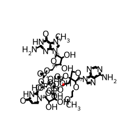 COCCOC1[C@H](n2cnc3c(N)ncnc32)OCC1(CCOP(=O)(O)OP(=O)(O)OP(=O)(O)OC[C@H]1O[C@@H](n2c[n+](C)c3c(=O)[nH]c(N)nc32)C(O)C1O)OP(=O)(O)OC[C@H]1O[C@@H](n2ccc(=O)[nH]c2=O)C(O)C1O